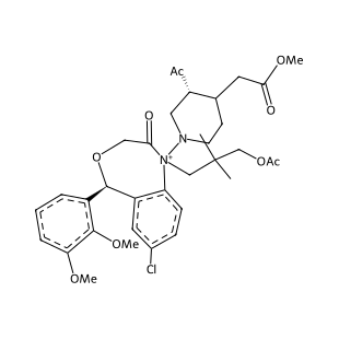 COC(=O)CC1CCN([N+]2(CC(C)(C)COC(C)=O)C(=O)CO[C@H](c3cccc(OC)c3OC)c3cc(Cl)ccc32)C[C@@H]1C(C)=O